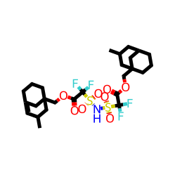 CC1C=C2CCCC(COC(=O)C(F)(F)S(=O)(=O)NS(=O)(=O)C(F)(F)C(=O)OCC34CCCC(CC(C)C3)C4)(C2)C1